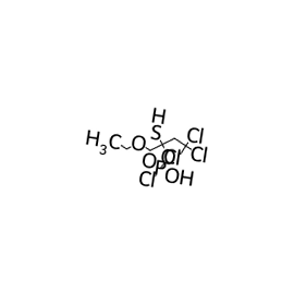 CCOCC(S)(CC(Cl)(Cl)Cl)OP(=O)(O)Cl